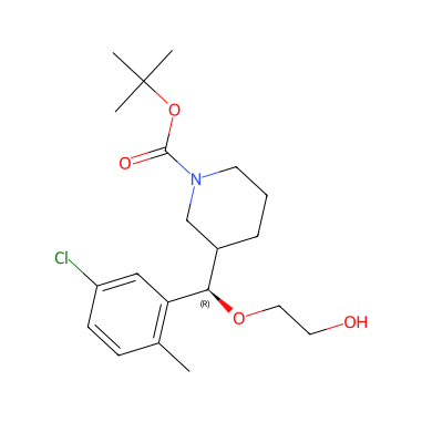 Cc1ccc(Cl)cc1[C@H](OCCO)C1CCCN(C(=O)OC(C)(C)C)C1